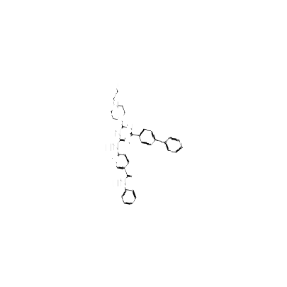 O=C(Nc1ccccc1)c1ccc(Nc2nc(-c3ccc(-c4ccccc4)cc3)nc(N3CCN(CCO)CC3)n2)nc1